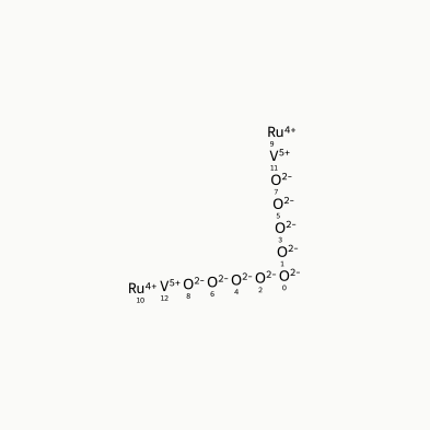 [O-2].[O-2].[O-2].[O-2].[O-2].[O-2].[O-2].[O-2].[O-2].[Ru+4].[Ru+4].[V+5].[V+5]